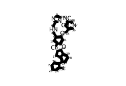 Cn1ccnc1CNCc1cc(Cl)c(O[C@H]2CCc3c(-c4ccccc4F)cccc32)cc1OCc1cncc(C#N)c1